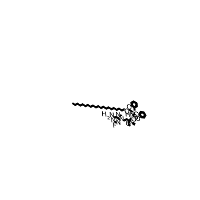 C#C[C@](CCn1cnc2c(N)nc(F)nc21)(COP(=O)(N[C@@H](Cc1ccccc1)C(=O)OCCCCCCCCCCCCCCCCCCCCC)Oc1ccccc1)OC